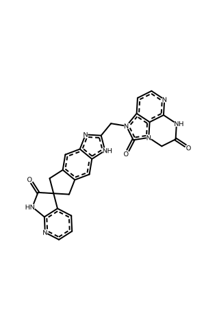 O=C1Cn2c(=O)n(Cc3nc4cc5c(cc4[nH]3)CC3(C5)C(=O)Nc4ncccc43)c3ccnc(c32)N1